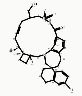 O=C1NS(=O)(=O)CC(CO)C/C=C\C[C@H](O)[C@@H]2CC[C@H]2CN2C[C@@]3(CCCc4cc(Cl)ccc43)COc3ccc1cc32